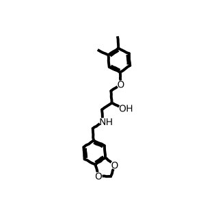 Cc1ccc(OCC(O)CNCc2ccc3c(c2)OCO3)cc1C